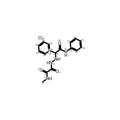 CNC(=O)C(=O)NNC(C(=O)Nc1ccccc1)[n+]1ccccc1.[Cl-]